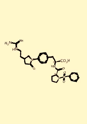 N=C(N)NCCC1CC(=O)N(c2ccc(C[C@H](NC(=O)[C@@H]3CCCN3S(=O)(=O)c3ccccc3)C(=O)O)cc2)C1